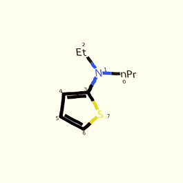 CCCN(CC)c1cccs1